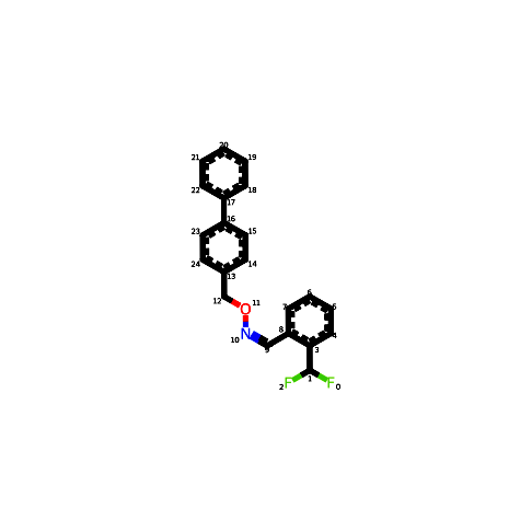 FC(F)c1ccccc1/[C]=N\OCc1ccc(-c2ccccc2)cc1